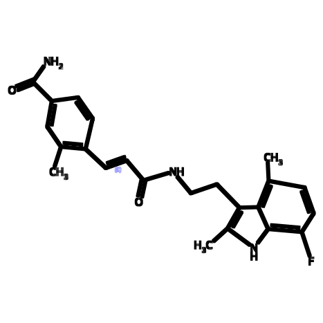 Cc1cc(C(N)=O)ccc1/C=C/C(=O)NCCc1c(C)[nH]c2c(F)ccc(C)c12